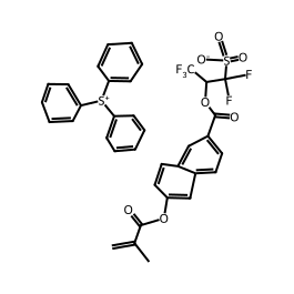 C=C(C)C(=O)Oc1ccc2cc(C(=O)OC(C(F)(F)F)C(F)(F)S(=O)(=O)[O-])ccc2c1.c1ccc([S+](c2ccccc2)c2ccccc2)cc1